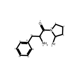 CC(=O)C1CCCN1C(=O)C(N)Cc1ccccc1